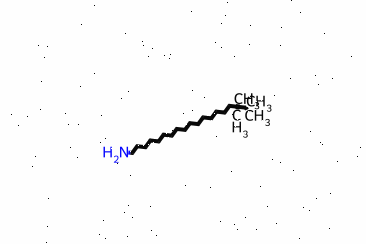 CC(C)C(C)(C)CCCCCCCCCCCCCCCCN